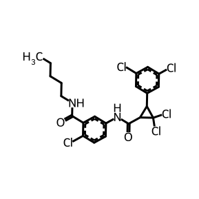 CCCCCNC(=O)c1cc(NC(=O)C2C(c3cc(Cl)cc(Cl)c3)C2(Cl)Cl)ccc1Cl